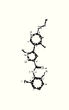 CCOc1cc(C)c(-c2cc(C(=O)Nc3c(F)cccc3F)nn2C)cn1